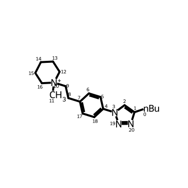 CCCCc1cn(-c2ccc(CC[N+]3(C)CCCCC3)cc2)nn1